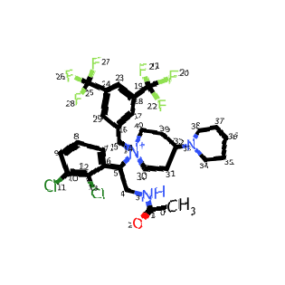 CC(=O)NCC(c1cccc(Cl)c1Cl)[N+]1(Cc2cc(C(F)(F)F)cc(C(F)(F)F)c2)CCC(N2CCCCC2)CC1